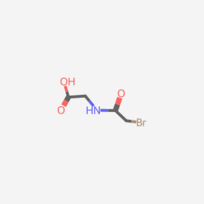 O=C(O)CNC(=O)CBr